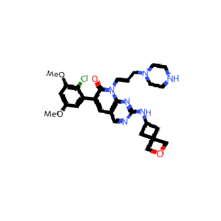 COc1cc(OC)c(Cl)c(-c2cc3cnc(NC4CC5(COC5)C4)nc3n(CCCN3CCNCC3)c2=O)c1